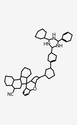 N#CC1CC2C(C3CCCCC13)C1CCCCC1C21C2C=CC=CC2OC2CC(C3CCCC(C4=CCC(C5NC(C6=CCCC=C6)NC(C6CCCCC6)N5)CC4)C3)CCC21